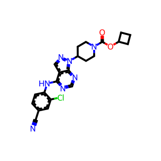 N#Cc1ccc(Nc2ncnc3c2cnn3C2CCN(C(=O)OC3CCC3)CC2)c(Cl)c1